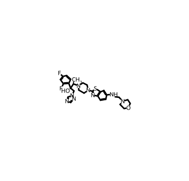 C[C@@H](N1CCN(c2nc3ccc(NCCN4CCOCC4)cc3s2)CC1)[C@](O)(Cn1cncn1)c1ccc(F)cc1F